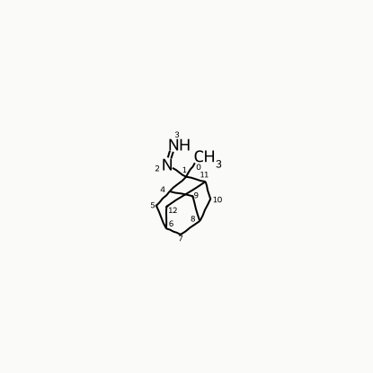 CC1(N=N)C2CC3CC(C2)CC1C3